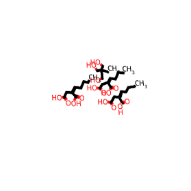 CCC(CO)(CO)CO.CCCCC=C(CC(=O)O)C(=O)O.CCCCC=C(CC(=O)O)C(=O)O.CCCCC=C(CC(=O)O)C(=O)O